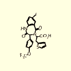 O=C(O)C(Cc1cccs1)N1C(=O)c2cc(I)ccc2NC(=O)C1c1ccc(OC(F)(F)F)cc1